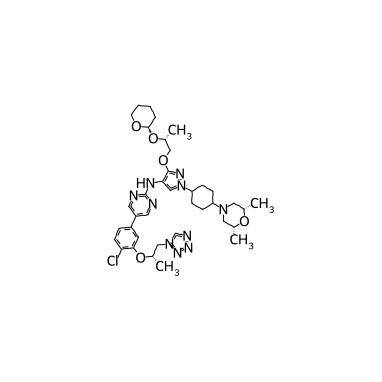 C[C@H](COc1nn(C2CCC(N3C[C@@H](C)O[C@@H](C)C3)CC2)cc1Nc1ncc(-c2ccc(Cl)c(O[C@@H](C)Cn3cnnn3)c2)cn1)O[C@@H]1CCCCO1